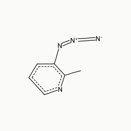 Cc1ncccc1N=[N+]=[N-]